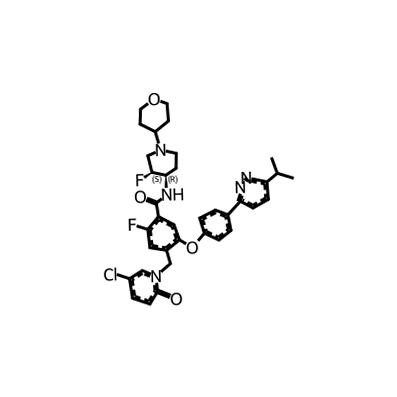 CC(C)c1ccc(-c2ccc(Oc3cc(C(=O)N[C@@H]4CCN(C5CCOCC5)C[C@@H]4F)c(F)cc3Cn3cc(Cl)ccc3=O)cc2)nn1